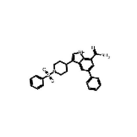 NC(=O)c1cc(-c2ccccc2)cc2c(C3CCN(S(=O)(=O)c4ccccc4)CC3)c[nH]c12